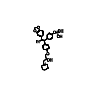 CCC(=C(c1ccc(OCC(O)CN2CCCCC2)cc1)c1ccc(OP(O)O)cc1)c1ccc2c(c1)OCO2